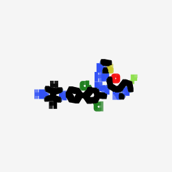 O=C(Nc1nccs1)C(c1ncn2c1C[C@@H](F)C2)n1cc2c(Cl)cc(-c3ccc(N4C[C@H]5CNC[C@H]5C4)cc3)c(Cl)c2n1